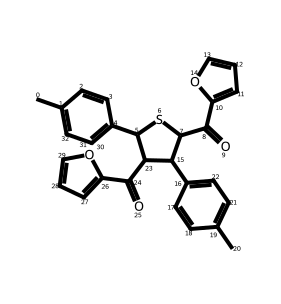 Cc1ccc(C2SC(C(=O)c3ccco3)C(c3ccc(C)cc3)C2C(=O)c2ccco2)cc1